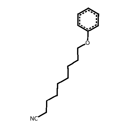 N#CCCCCCCCCOc1ccccc1